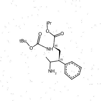 CC(C)OC(=O)[C@@H](C[C@@H](c1ccccc1)C(C)N)NC(=O)OC(C)(C)C